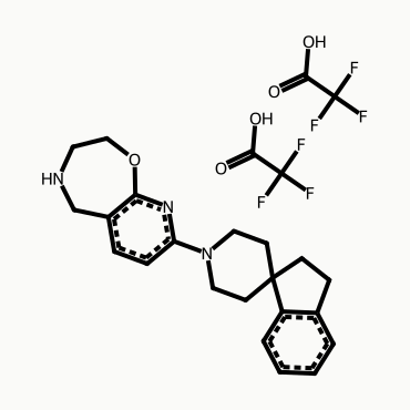 O=C(O)C(F)(F)F.O=C(O)C(F)(F)F.c1ccc2c(c1)CCC21CCN(c2ccc3c(n2)OCCNC3)CC1